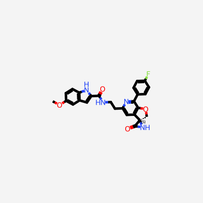 COc1ccc2[nH]c(C(=O)NCCc3cc4c(c(-c5ccc(F)cc5)n3)OC[C@@]43NC3=O)cc2c1